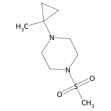 CC1(N2CCN(S(C)(=O)=O)CC2)CC1